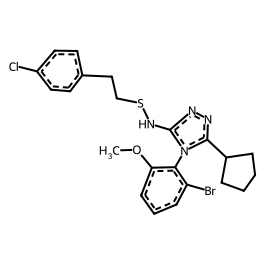 COc1cccc(Br)c1-n1c(NSCCc2ccc(Cl)cc2)nnc1C1CCCC1